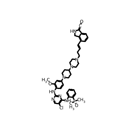 COc1cc(N2CCC(N3CCN(CCC=Cc4cccc5c4CNC5=C=O)CC3)CC2)ccc1Nc1ncc(Cl)c(Nc2ccccc2P(C)(C)=O)n1